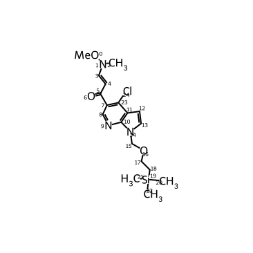 CON(C)C=CC(=O)c1cnc2c(ccn2COCC[Si](C)(C)C)c1Cl